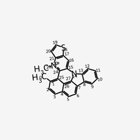 Cc1ccc2ccc3c4ccccc4n4c5cc6sccc6[n+](C)c5c1c2c34